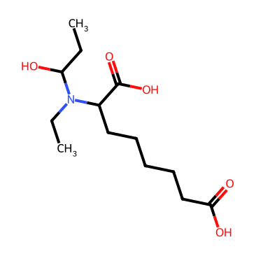 CCC(O)N(CC)C(CCCCCC(=O)O)C(=O)O